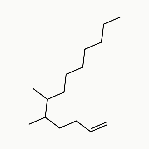 C=CCCC(C)C(C)CCCCCCC